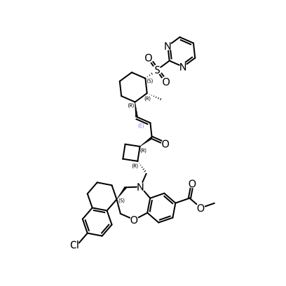 COC(=O)c1ccc2c(c1)N(C[C@@H]1CC[C@H]1C(=O)/C=C/[C@H]1CCC[C@H](S(=O)(=O)c3ncccn3)[C@@H]1C)C[C@@]1(CCCc3cc(Cl)ccc31)CO2